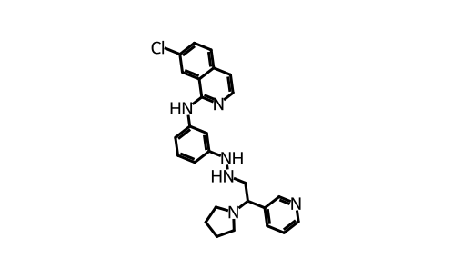 Clc1ccc2ccnc(Nc3cccc(NNCC(c4cccnc4)N4CCCC4)c3)c2c1